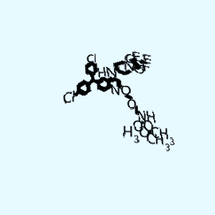 CC(C)(C)OC(=O)NCCOCCOc1cc(NC2CCN(S(=O)(=O)C(F)(F)F)CC2)c2cc(C(c3ccc(Cl)cc3)c3ccc(Cl)cc3)ccc2n1